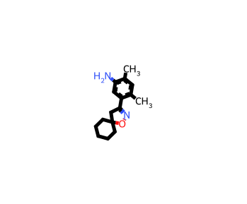 Cc1cc(C)c(C2=NOC3(CCCCC3)C2)cc1N